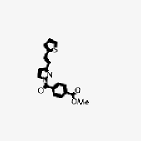 COC(=O)c1ccc(C(=O)n2ccc(/C=C/c3cccs3)n2)cc1